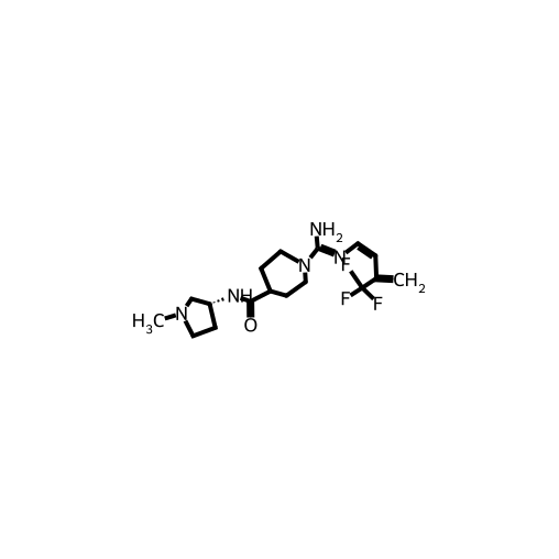 C=C(/C=C\N=C(/N)N1CCC(C(=O)N[C@@H]2CCN(C)C2)CC1)C(F)(F)F